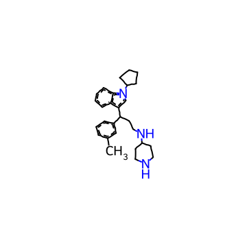 Cc1cccc(C(CCNC2CCNCC2)c2cn(C3CCCC3)c3ccccc23)c1